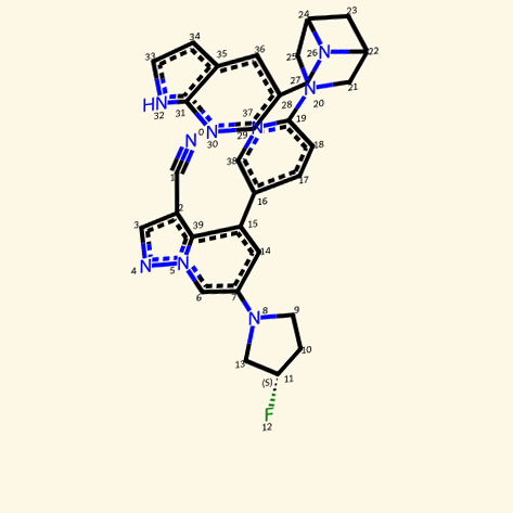 N#Cc1cnn2cc(N3CC[C@H](F)C3)cc(-c3ccc(N4CC5CC(C4)N5Cc4cnc5[nH]ccc5c4)nc3)c12